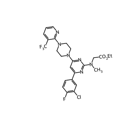 CCOC(=O)CN(C)c1nc(-c2ccc(F)c(Cl)c2)cc(N2CCN(c3ncccc3C(F)(F)F)CC2)n1